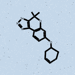 CC1(C)Oc2cc(OC3CC=CCC3)ccc2-c2nn[se]c21